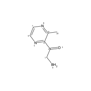 BCC(=O)c1nccnc1C